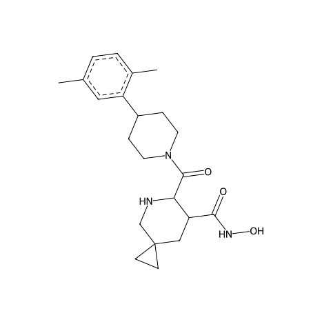 Cc1ccc(C)c(C2CCN(C(=O)C3NCC4(CC4)CC3C(=O)NO)CC2)c1